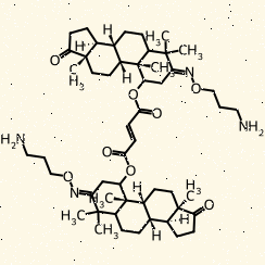 CC1(C)/C(=N/OCCCN)CC(OC(=O)/C=C/C(=O)OC2C/C(=N\OCCCN)C(C)(C)C3CC[C@@H]4[C@@H](CC[C@]5(C)C(=O)CC[C@@H]45)[C@@]23C)[C@@]2(C)C1CC[C@@H]1[C@H]2CC[C@]2(C)C(=O)CC[C@@H]12